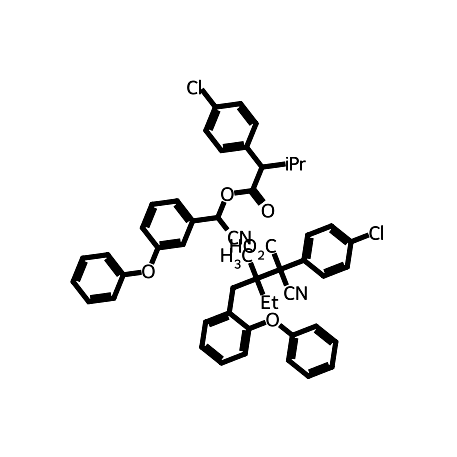 CC(C)C(C(=O)OC(C#N)c1cccc(Oc2ccccc2)c1)c1ccc(Cl)cc1.CCC(C)(Cc1ccccc1Oc1ccccc1)C(C#N)(C(=O)O)c1ccc(Cl)cc1